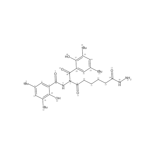 CC(C)(C)c1cc(C(=O)NN(C(=O)CCCCC(=O)NN)C(=O)c2cc(C(C)(C)C)cc(C(C)(C)C)c2O)c(O)c(C(C)(C)C)c1